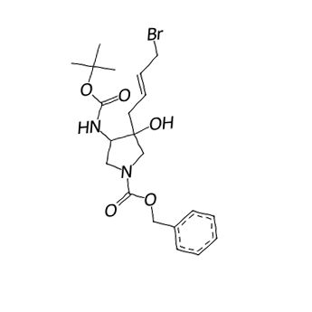 CC(C)(C)OC(=O)NC1CN(C(=O)OCc2ccccc2)CC1(O)C/C=C/CBr